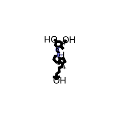 C=C1/C(=C\C=C2/CCCC3(C)C([C@H](C)CCCC(C)(C)O)CC[C@@H]23)CC(O)C[C@H]1CO